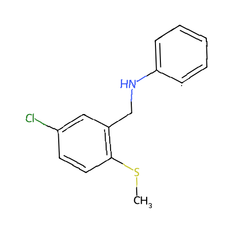 CSc1ccc(Cl)cc1CNc1[c]cccc1